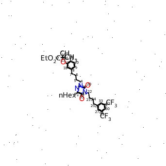 CCCCCCc1nn(CCCCc2cccc(OC(C)(C)C(=O)OCC)c2)c(=O)n(CCCCc2cc(C(F)(F)F)cc(C(F)(F)F)c2)c1=O